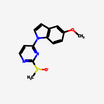 COc1ccc2c(ccn2-c2ccnc([S+](C)[O-])n2)c1